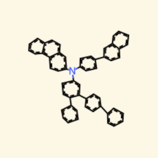 c1ccc(-c2ccc(-c3cc(N(c4ccc(-c5ccc6ccccc6c5)cc4)c4ccc5c(ccc6ccccc65)c4)ccc3-c3ccccc3)cc2)cc1